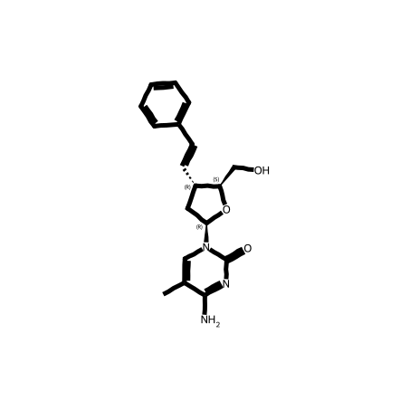 Cc1cn([C@H]2C[C@H](C=Cc3ccccc3)[C@@H](CO)O2)c(=O)nc1N